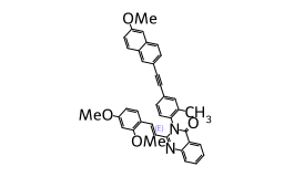 COc1ccc(/C=C/c2nc3ccccc3c(=O)n2-c2ccc(C#Cc3ccc4cc(OC)ccc4c3)cc2C)c(OC)c1